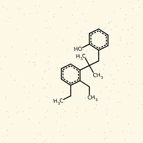 CCc1cccc(C(C)(C)Cc2ccccc2O)c1CC